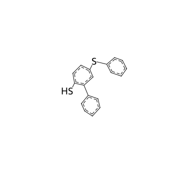 Sc1ccc(Sc2ccccc2)cc1-c1ccccc1